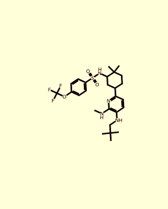 CNc1nc(C2CCC(C)(C)C(NS(=O)(=O)c3ccc(OC(F)(F)F)cc3)C2)ccc1NCC(C)(C)C